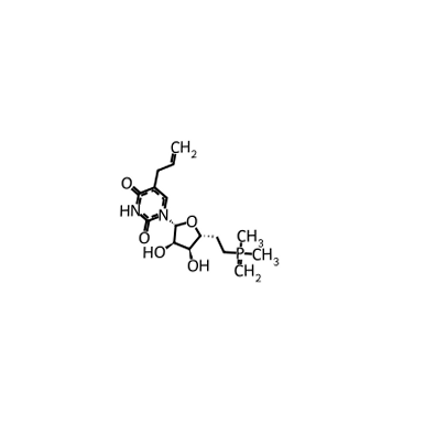 C=CCc1cn([C@@H]2O[C@H](CCP(=C)(C)C)[C@@H](O)[C@H]2O)c(=O)[nH]c1=O